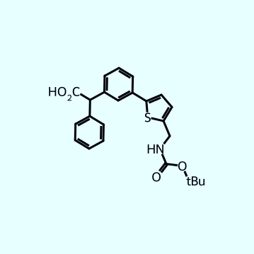 CC(C)(C)OC(=O)NCc1ccc(-c2cccc(C(C(=O)O)c3ccccc3)c2)s1